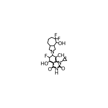 CC1=c2c(c(=O)[nH]c(=O)n2C2CC2)=C(O)C(F)C1N1CC2CCCC(F)(F)C(O)C2C1